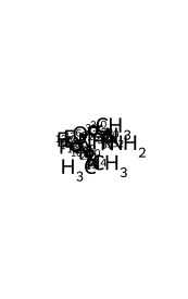 Cc1ccc(C(=O)Nc2cc(C(F)(F)F)ccc2N2CC[C@@H](N(C)C)C2)cc1-c1cnc(N)nc1